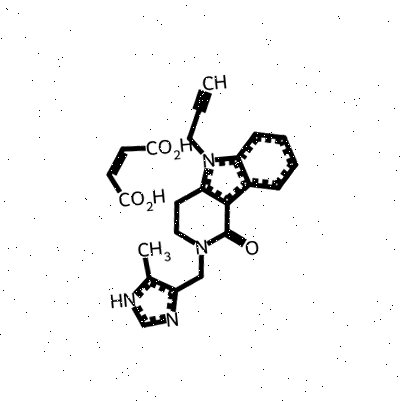 C#CCn1c2c(c3ccccc31)C(=O)N(Cc1nc[nH]c1C)CC2.O=C(O)/C=C\C(=O)O